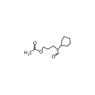 CC(=O)OCCCC([C]=O)C1CCCCC1